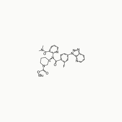 CN(C)C(=O)c1cccnc1N(C(=O)c1ccc(-n2nnc3cccnc32)cc1F)[C@@H]1CCCN(C(=O)OC(C)(C)C)C1